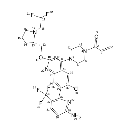 C=CC(=O)N1CCN(c2nc(OC[C@@H]3CCCN3CC(F)F)nc3cc(-c4nc(N)ccc4C(F)(F)F)c(Cl)cc23)CC1